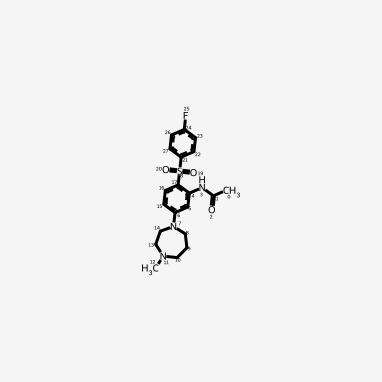 CC(=O)Nc1cc(N2CCCN(C)CC2)ccc1S(=O)(=O)c1ccc(F)cc1